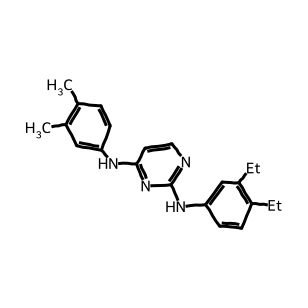 CCc1ccc(Nc2nccc(Nc3ccc(C)c(C)c3)n2)cc1CC